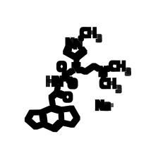 CN(C)CCN(c1cnn(C)c1)S(=O)(=O)NC(=O)Cc1c2c(cc3c1CCC3)CCC2.[Na]